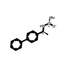 C[C@H](N[S@+]([O-])C(C)(C)C)c1ccc(-c2ccccc2)cc1